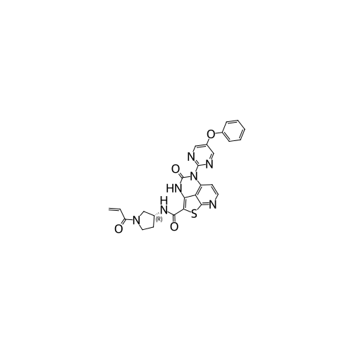 C=CC(=O)N1CC[C@@H](NC(=O)c2sc3nccc4c3c2NC(=O)N4c2ncc(Oc3ccccc3)cn2)C1